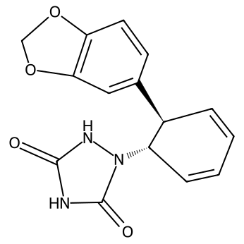 O=c1[nH]c(=O)n([C@H]2C=CC=C[C@@H]2c2ccc3c(c2)OCO3)[nH]1